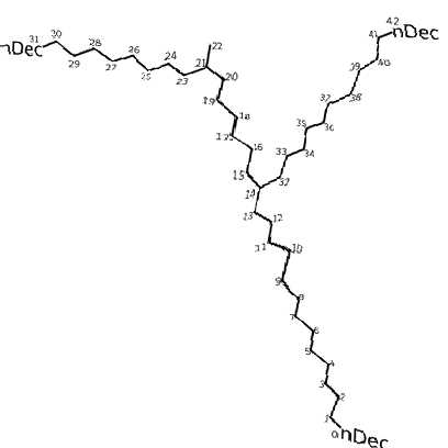 CCCCCCCCCCCCCCCCCCCCCCCC(CC[CH]CCCC(C)CCCCCCCCCCCCCCCCCC)CCCCCCCCCCCCCCCCCCCC